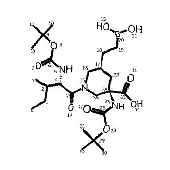 CCC(C)[C@H](NC(=O)OC(C)(C)C)C(=O)N1C[C@@H](CCB(O)O)C[C@](NC(=O)OC(C)(C)C)(C(=O)O)C1